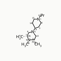 CC(C)N1CCC(N2C[C@@H](C)N(C)[C@@H](C)C2)CC1